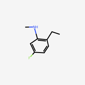 CCc1ccc(F)cc1NC